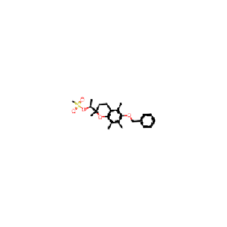 Cc1c(C)c2c(c(C)c1OCc1ccccc1)CCC(C)(C(C)OS(C)(=O)=O)O2